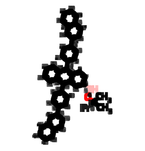 CC(C)C(C)(C)OBc1ccc2c(-c3ccc(-c4ccc5ccccc5c4)cc3)c3ccccc3c(-c3ccc(-c4ccc5ccccc5c4)cc3)c2c1